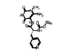 Cn1c(N)c(NC(=O)[C@@H](Cc2ccncc2)NC(=O)OC(C)(C)C)c(=O)[nH]c1=O